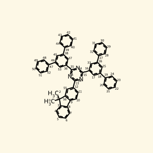 CC1(C)c2ccccc2-c2ccc(-c3nc(-c4cc(-c5ccccc5)cc(-c5ccccc5)c4)nc(-c4cc(-c5ccccc5)cc(-c5ccccc5)c4)n3)cc21